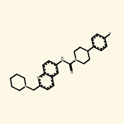 O=C(Nc1ccc2nc(CN3CCCCC3)ccc2c1)N1CCC(c2ccc(F)cc2)CC1